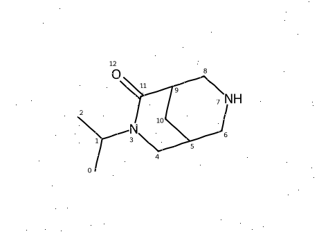 CC(C)N1CC2CNCC(C2)C1=O